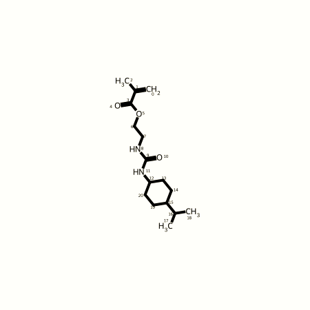 C=C(C)C(=O)OCCNC(=O)NC1CCC(C(C)C)CC1